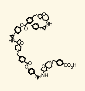 O=C(O)c1ccc(CN2CCC3(CC2)CC(N[C@@H]2C[C@H]2c2ccc(OC(=O)c4ccc(CN5CCC6(CC5)OCC6N[C@@H]5C[C@H]5c5ccc(OC(=O)c6ccc(CN7CC8(CC(N[C@@H]9C[C@H]9c9ccccc9)CCO8)C7)cc6)cc5)cc4)cc2)CO3)cc1